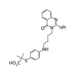 CCCc1nc2ccccc2c(=O)n1CCCCNc1ccc(SC(C)(C)C(=O)O)cc1